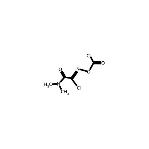 CN(C)C(=O)C(Cl)=NOC(=O)Cl